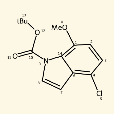 COc1ccc(Cl)c2ccn(C(=O)OC(C)(C)C)c12